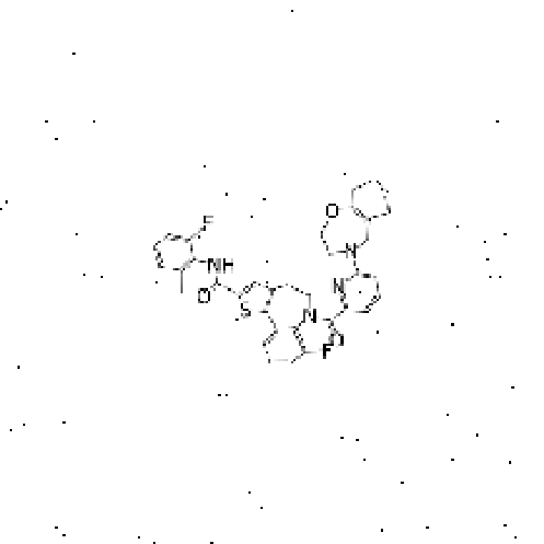 Cc1cccc(F)c1NC(=O)c1cc2c(s1)-c1cccc(F)c1N(C(=O)c1cccc(N3CCOC4=C(C=CCC4)C3)n1)CC2